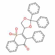 O=C1C(c2ccccc2)=C(C2COC(c3ccccc3)(c3ccccc3)O2)S(=O)(=O)c2ccccc21